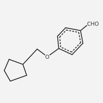 O=Cc1ccc(OCC2CCCC2)cc1